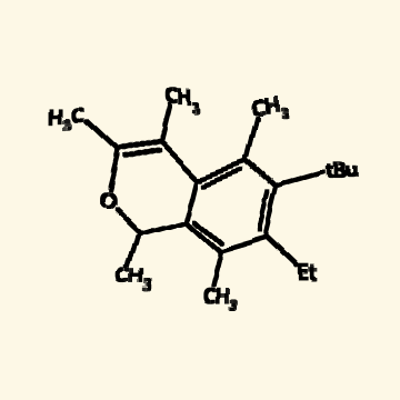 CCc1c(C)c2c(c(C)c1C(C)(C)C)C(C)=C(C)OC2C